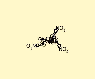 CC1C(CN2C[C@H](N/C(=N\C(=O)OCc3ccc([N+](=O)[O-])cc3)NC(=O)OCc3ccc([N+](=O)[O-])cc3)[C@@H](O)C2)=C(C(=O)OCc2ccc([N+](=O)[O-])cc2)N2C(=O)CC12